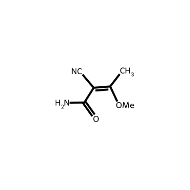 COC(C)=C(C#N)C(N)=O